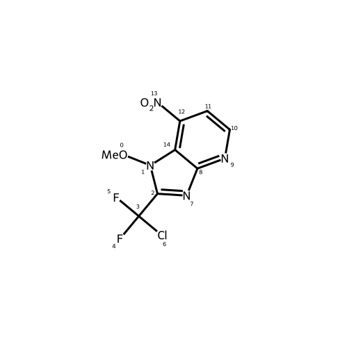 COn1c(C(F)(F)Cl)nc2nccc([N+](=O)[O-])c21